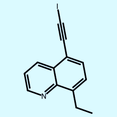 CCc1ccc(C#CI)c2cccnc12